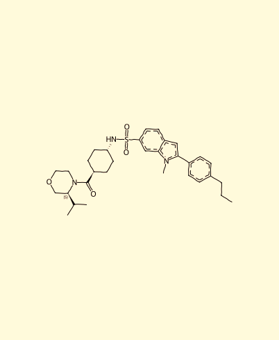 CCCc1ccc(-c2cc3ccc(S(=O)(=O)N[C@H]4CC[C@H](C(=O)N5CCOC[C@@H]5C(C)C)CC4)cc3n2C)cc1